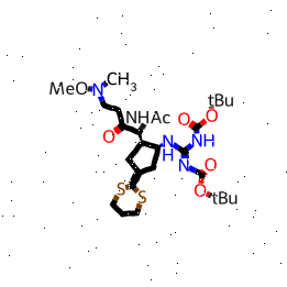 CON(C)CCC(=O)C(NC(C)=O)[C@@H]1CC(=C2SCCCS2)C[C@@H]1NC(=NC(=O)OC(C)(C)C)NC(=O)OC(C)(C)C